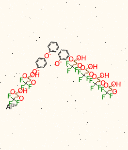 O=S(=O)(O)C(F)(F)F.O=S(=O)(O)C(F)(F)F.O=S(=O)(O)C(F)(F)F.O=S(=O)(O)C(F)(F)F.O=S(=O)(O)C(F)(F)F.O=S(=O)(O)C(F)(F)F.[Al+3].[O-]c1ccccc1.[O-]c1ccccc1.[O-]c1ccccc1